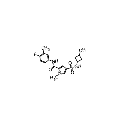 Cc1cc(NC(=O)c2cc(S(=O)(=O)NC3CC(O)C3)cn2C)ccc1F